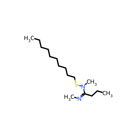 CCCCCCCCCCSN(C)/C(CCC)=N\C